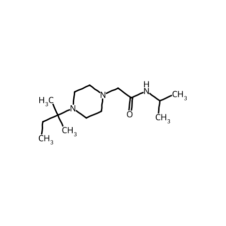 CCC(C)(C)N1CCN(CC(=O)NC(C)C)CC1